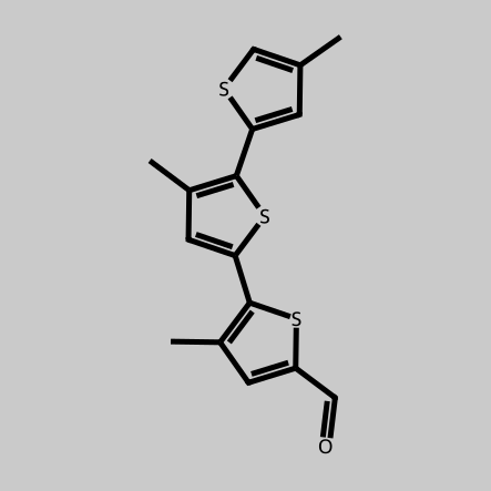 Cc1csc(-c2sc(-c3sc(C=O)cc3C)cc2C)c1